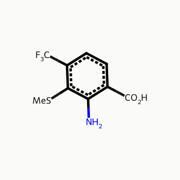 CSc1c(C(F)(F)F)ccc(C(=O)O)c1N